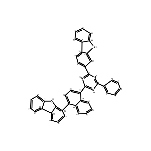 c1ccc(-c2nc(-c3ccc4c(c3)oc3ccccc34)nc(-c3ccc(-c4cccc5c4sc4ccccc45)c4ccccc34)n2)cc1